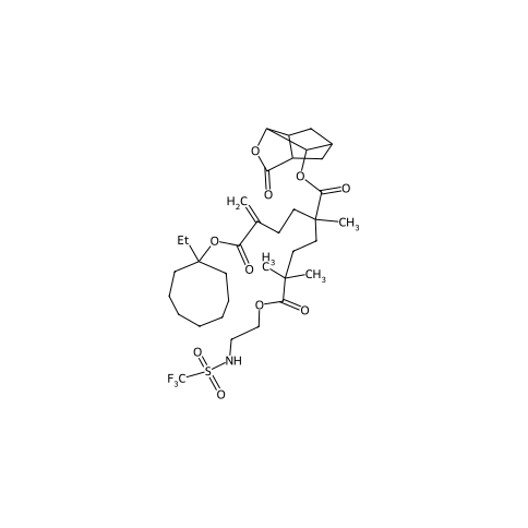 C=C(CCC(C)(CCC(C)(C)C(=O)OCCNS(=O)(=O)C(F)(F)F)C(=O)OC1C2CC3C(=O)OC1C3C2)C(=O)OC1(CC)CCCCCCC1